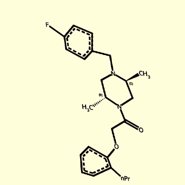 CCCc1ccccc1OCC(=O)N1C[C@H](C)N(Cc2ccc(F)cc2)C[C@H]1C